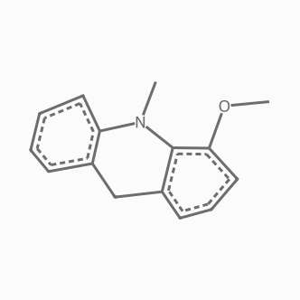 COc1cccc2c1N(C)c1ccccc1C2